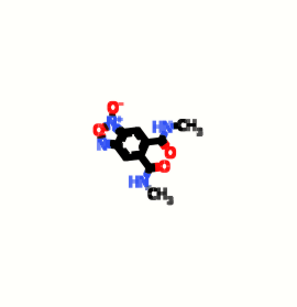 CNC(=O)c1cc2no[n+]([O-])c2cc1C(=O)NC